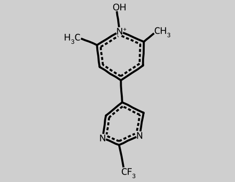 Cc1cc(-c2cnc(C(F)(F)F)nc2)cc(C)[n+]1O